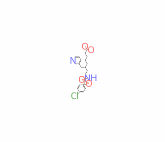 COC(=O)CCCCC(CCNS(=O)(=O)c1ccc(Cl)cc1)Cc1cccnc1